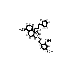 Oc1ccc(CCN2CCC3(CCCc4ccccc4)c4cccc(O)c4CCC3C2)c(O)c1